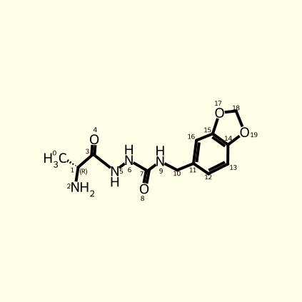 C[C@@H](N)C(=O)NNC(=O)NCc1ccc2c(c1)OCO2